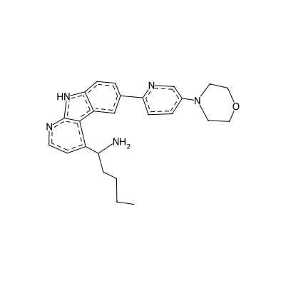 CCCCC(N)c1ccnc2[nH]c3ccc(-c4ccc(N5CCOCC5)cn4)cc3c12